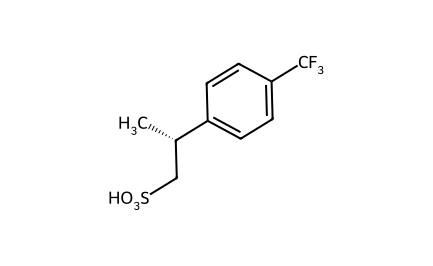 C[C@@H](CS(=O)(=O)O)c1ccc(C(F)(F)F)cc1